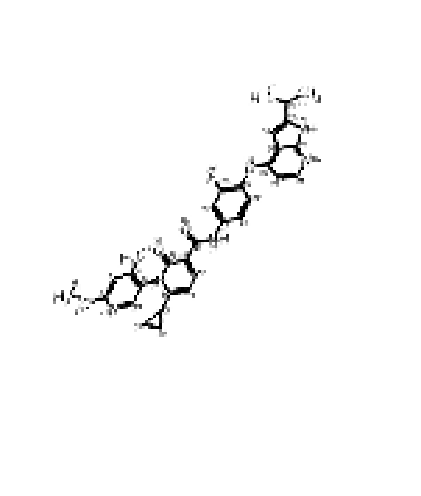 COc1cc(C)c(-n2c(C3CC3)ccc(C(=O)Nc3ccc(Oc4ccnc5[nH]c(C(C)C)cc45)c(F)c3)c2=O)cn1